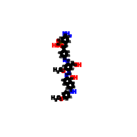 COc1ccc(Nc2ccc3c(O)c(N=Nc4cc(CO)c(N=Nc5ccc(C=Cc6ccc(N)cc6S(=O)(=O)O)cc5)cc4OC)ccc3c2)cc1